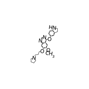 COc1cc2c(Oc3ccc4c(c3)CCN4)ncnc2cc1OCCCN1CCCC1